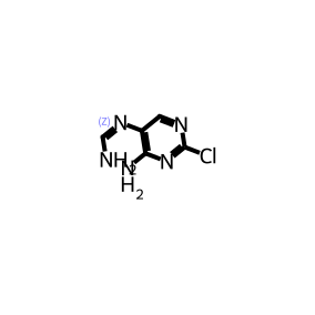 N/C=N\c1cnc(Cl)nc1N